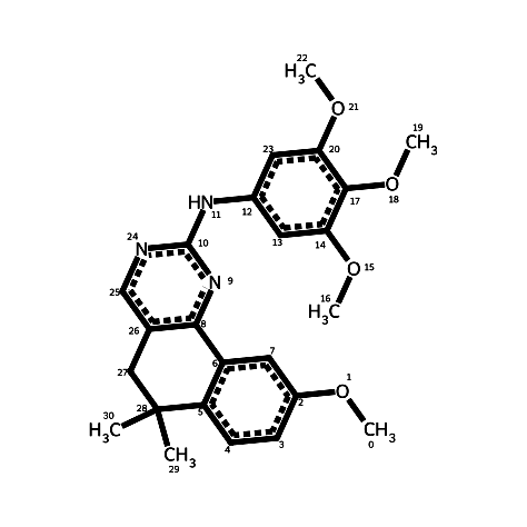 COc1ccc2c(c1)-c1nc(Nc3cc(OC)c(OC)c(OC)c3)ncc1CC2(C)C